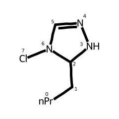 CCCCC1NN=CN1Cl